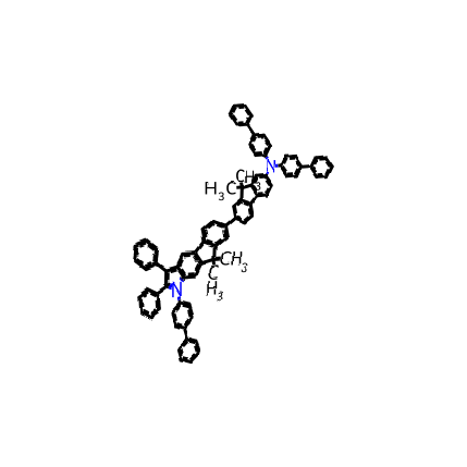 CC1(C)c2cc(-c3ccc4c(c3)C(C)(C)c3cc5c(cc3-4)c(-c3ccccc3)c(-c3ccccc3)n5-c3ccc(-c4ccccc4)cc3)ccc2-c2ccc(N(c3ccc(-c4ccccc4)cc3)c3ccc(-c4ccccc4)cc3)cc21